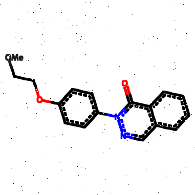 COCCOc1ccc(-n2ncc3ccccc3c2=O)cc1